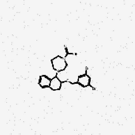 O=C(O)N1CCCN(C2c3ccccc3CCC2OCc2cc(Br)cc(Br)c2)CC1